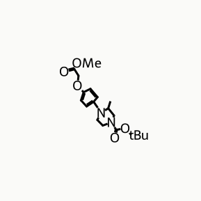 COC(=O)COc1ccc(N2CCN(C(=O)OC(C)(C)C)CC2C)cc1